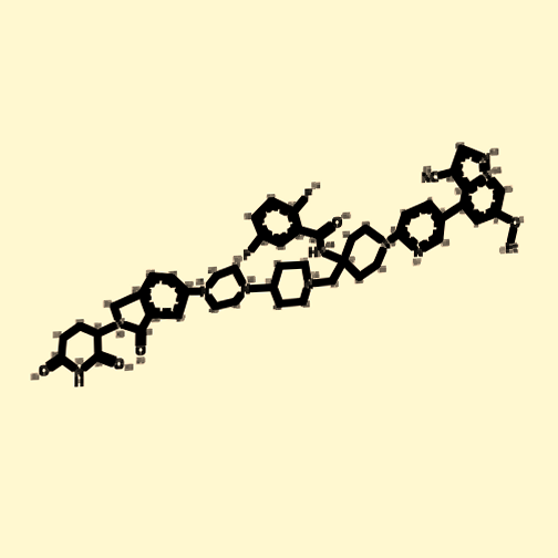 CCOc1cc(-c2ccc(N3CCC(CN4CCC(N5CCN(c6ccc7c(c6)C(=O)N(C6CCC(=O)NC6=O)C7)CC5)CC4)(NC(=O)c4cc(F)ccc4F)CC3)nc2)c2c(C#N)cnn2c1